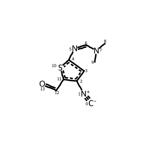 [C-]#[N+]c1cc(/N=C\N(C)C)sc1C=O